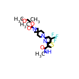 CNC(=O)c1csc2c(C(F)(F)F)cc(N3CCC4(CC3)CN(C(=O)OC(C)(C)COC)C4)nc12